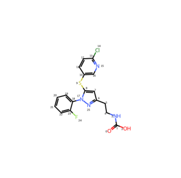 O=C(O)NCCc1cc(Sc2ccc(Cl)nc2)n(-c2ccccc2F)n1